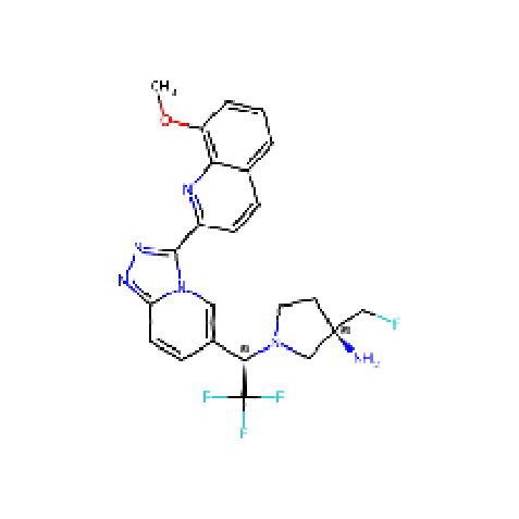 COc1cccc2ccc(-c3nnc4ccc([C@@H](N5CC[C@](N)(CF)C5)C(F)(F)F)cn34)nc12